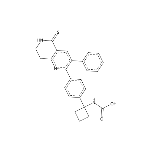 O=C(O)NC1(c2ccc(-c3nc4c(cc3-c3ccccc3)C(=S)NCC4)cc2)CCC1